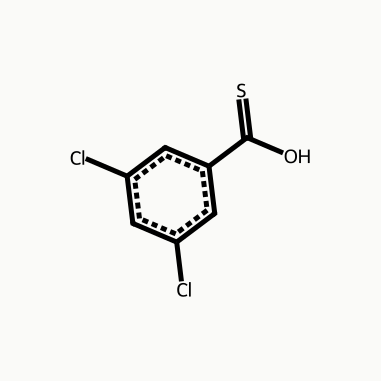 OC(=S)c1cc(Cl)cc(Cl)c1